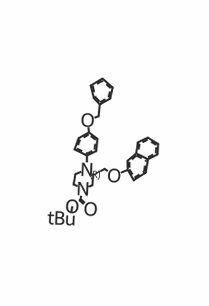 CC(C)(C)OC(=O)N1CCN(c2ccc(OCc3ccccc3)cc2)[C@@H](COc2ccc3ccccc3c2)C1